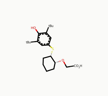 CC(C)(C)c1cc(S[C@H]2CCCC[C@H]2OCC(=O)O)cc(C(C)(C)C)c1O